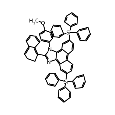 COc1ccc(-n2c(C3=c4ccccc4=CCC3)nc3c4cc([Si](c5ccccc5)(c5ccccc5)c5ccccc5)ccc4c4ccc([Si](c5ccccc5)(c5ccccc5)c5ccccc5)cc4c32)cc1